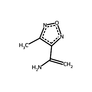 C=C(N)c1nonc1C